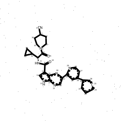 N#CC1CCN(C(=O)[C@H](NC(=O)c2c[nH]c3ncc(-c4cc(-c5ccccc5)ccn4)nc23)C2CC2)CC1